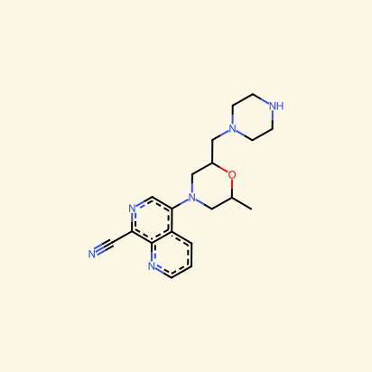 CC1CN(c2cnc(C#N)c3ncccc23)CC(CN2CCNCC2)O1